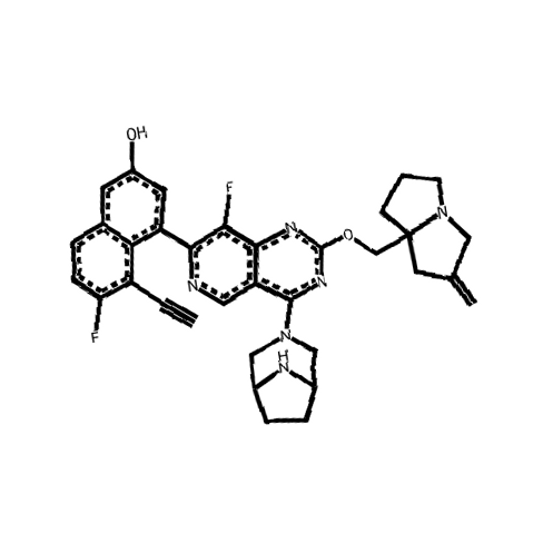 C#Cc1c(F)ccc2cc(O)cc(-c3ncc4c(N5CC6CCC(C5)N6)nc(OCC56CCCN5CC(=C)C6)nc4c3F)c12